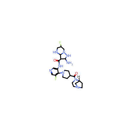 NC1NN2CC(F)CNC2C1C(=O)Nc1cncc(F)c1N1CCC(C(=O)N2CCN3CC[C@@H]2C3)CC1